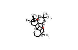 C=C1[C@H]2CCC34C(C2)[C@@]25CCC[C@@](C)(COC2=O)C5C[C@H]3OC(C)(C)O[C@@H]14